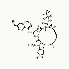 CC(C)Oc1ccc2c(O[C@@H]3C[C@H]4C(=O)N[C@]5(C(=O)NS(=O)(=O)C6(C)CC6)C[C@H]5/C=C\CC[C@H](C)C[C@@H](C)[C@H](N(C(=O)O)[C@H]5CC6C[C@H]6C5)C(=O)N4C3)nccc2c1